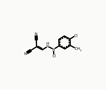 Cc1cc(N(Cl)NC=C(C#N)C#N)ccc1Cl